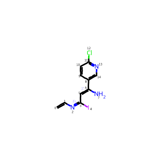 C=C/N=C(I)\C=C(/N)c1ccc(Cl)nc1